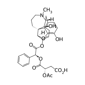 CC(=O)O[C@@H](CC(=O)O)C(=O)O[C@H](C(=O)OC1=CC[C@@]2(O)[C@H]3Cc4ccc(O)c5c4[C@@]2(CCCN3C)[C@H]1O5)c1ccccc1